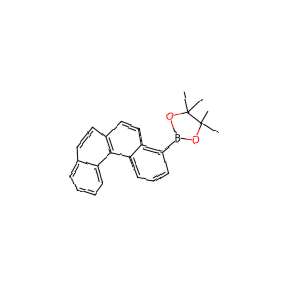 CC1(C)OB(c2cccc3c2ccc2ccc4ccccc4c23)OC1(C)C